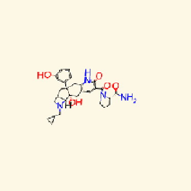 NC(=O)[C@@H]1CCCN1C(=O)c1cc2c([nH]c1=O)C[C@@]1(c3cccc(O)c3)CC3CN(CC4CC4)[C@H]3[C@]1(O)C2